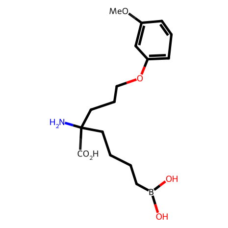 COc1cccc(OCCCC(N)(CCCCB(O)O)C(=O)O)c1